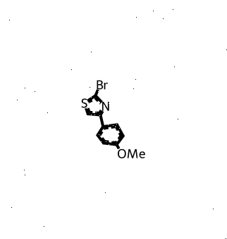 COc1ccc(-c2csc(Br)n2)cc1